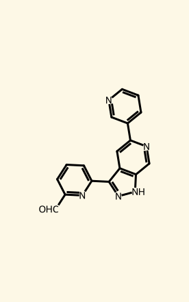 O=Cc1cccc(-c2n[nH]c3cnc(-c4cccnc4)cc23)n1